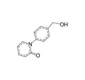 O=c1ccccn1-c1ccc(CO)cc1